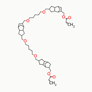 C=CC(=O)OCC1CC2CC1C1CC(COCCCCCOCC3CC4C5CC(COCCCCCOCC6CC7C8CC(COC(=O)C=C)C(C8)C7C6)C(C5)C4C3)CC21